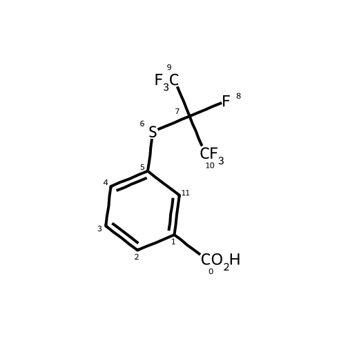 O=C(O)c1cccc(SC(F)(C(F)(F)F)C(F)(F)F)c1